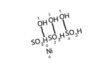 O=S(=O)(O)O.O=S(=O)(O)O.O=S(=O)(O)O.[Ni]